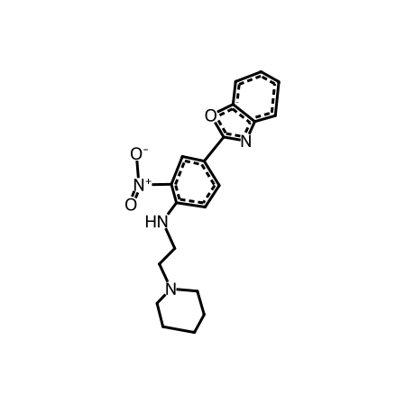 O=[N+]([O-])c1cc(-c2nc3ccccc3o2)ccc1NCCN1CCCCC1